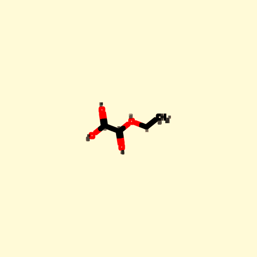 [CH2]COC(=O)C([O])=O